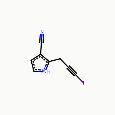 N#Cc1cc[nH]c1CC#CI